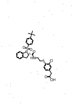 CC(C)(C)c1ccc(S(=O)(=O)N2c3ccccc3C[C@H]2C(=O)NCCSc2ccc(CC(=O)O)cc2Cl)cc1